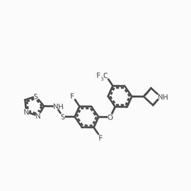 Fc1cc(SNc2nncs2)c(F)cc1Oc1cc(C2CNC2)cc(C(F)(F)F)c1